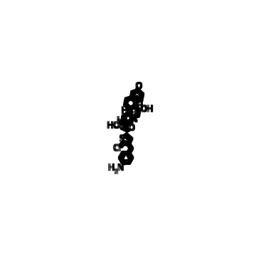 C[C@]12C=CC(=O)C=C1CC[C@@H]1[C@@H]2[C@@H](O)C[C@@]2(C)[C@H]1C[C@H]1O[C@@H](c3cc(Cc4ccc(N)cc4)c(Cl)s3)O[C@]12C(=O)CO